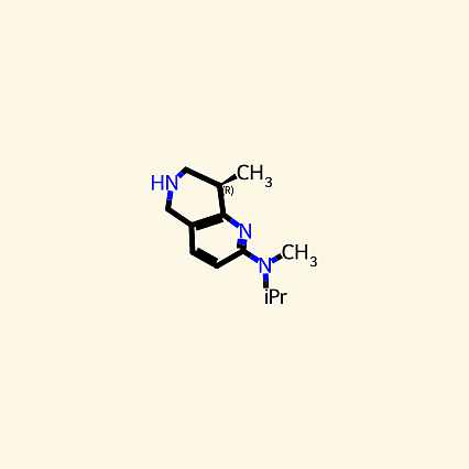 CC(C)N(C)c1ccc2c(n1)[C@H](C)CNC2